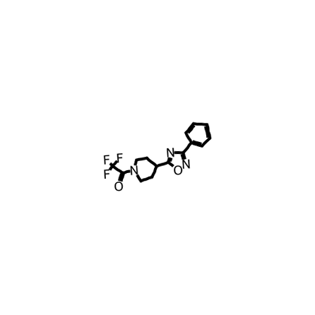 O=C(N1CCC(c2nc(-c3ccccc3)no2)CC1)C(F)(F)F